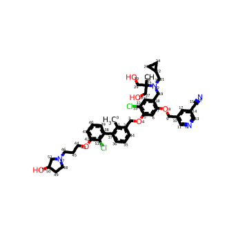 Cc1c(COc2cc(OCc3cncc(C#N)c3)c(CN(CC3CC3)C(C)(CO)CO)cc2Cl)cccc1-c1cccc(OCCCN2CCC(O)C2)c1Cl